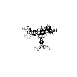 C=CC(=O)N1C[C@H](C)N(c2nc(N3CC(N(C)C)C3)nc3c(F)c(-c4cncc5[nH]ncc45)c(C)cc23)C[C@H]1C